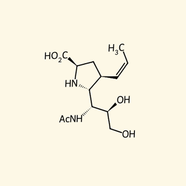 C/C=C\[C@@H]1C[C@H](C(=O)O)N[C@H]1[C@@H](NC(C)=O)[C@@H](O)CO